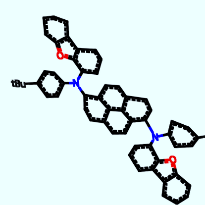 CC(C)(C)c1ccc(N(c2ccc3ccc4c(N(c5ccc(C(C)(C)C)cc5)c5cccc6c5oc5ccccc56)ccc5ccc2c3c54)c2cccc3c2oc2ccccc23)cc1